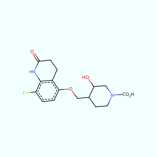 O=C1CCc2c(OCC3CCN(C(=O)O)CC3O)ccc(F)c2N1